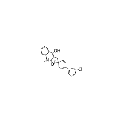 Cn1c(=O)c(CC2(F)C=CC(c3cccc(Cl)c3)=CC2)c(O)c2ccccc21